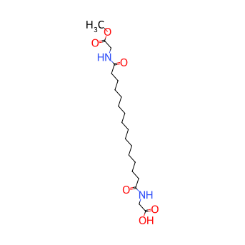 COC(=O)CNC(=O)CCCCCCCCCCCCCCC(=O)NCC(=O)O